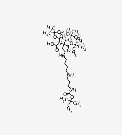 CC(C)(C)OC(=O)NCCCNCCCCNCCC(C(=O)OC(C)(C)C)(C(=O)OC(C)(C)C)N(C(=O)O)C(=O)OC(C)(C)C